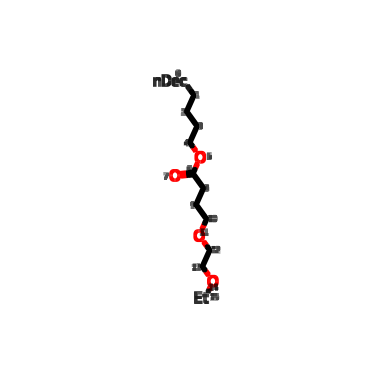 CCCCCCCCCCCCCCOC(=O)CCCOCCOCC